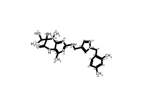 BC1(C(C)O)C(=O)Nc2c(C)nc(NCc3cnn(Cc4ccc(C)cc4C)c3)nc2N1C